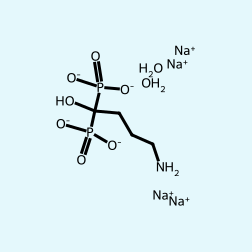 NCCCC(O)(P(=O)([O-])[O-])P(=O)([O-])[O-].O.O.[Na+].[Na+].[Na+].[Na+]